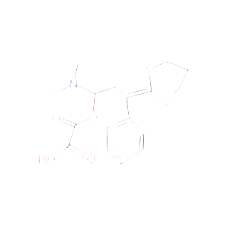 CN(C)C(CC(=C1SCCCS1)c1ccccc1)OC(=O)C(=O)O